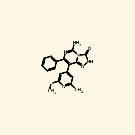 COc1cc(-c2c(-c3ccccc3)nc(N)n3c(=O)[nH]nc23)cc(C)n1